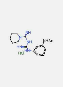 CC(=O)Nc1cccc(NC(=N)NC(=N)N2CCCCC2)c1.Cl